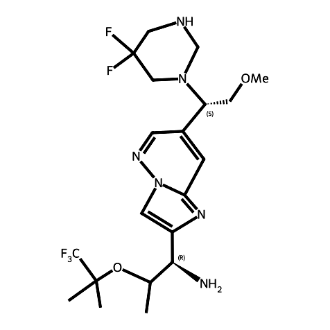 COC[C@H](c1cnn2cc([C@@H](N)C(C)OC(C)(C)C(F)(F)F)nc2c1)N1CNCC(F)(F)C1